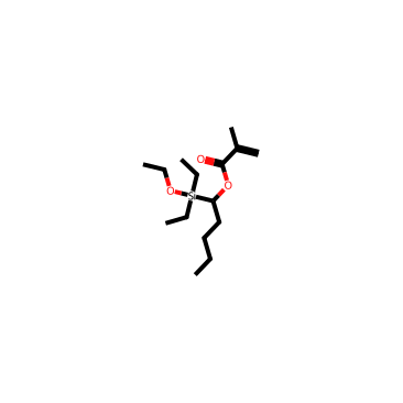 C=C(C)C(=O)OC(CCCC)[Si](CC)(CC)OCC